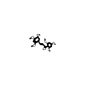 COc1cc(OC)c(C(=O)C=Cc2cc(OC)c(OC)cc2OC)c(OC)c1